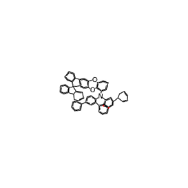 C1=CCC(c2cccc(N(c3ccc(-c4ccccc4)cc3-c3ccccc3)c3cccc4c3Oc3cc5c(cc3O4)-c3ccccc3C53C4=CC=CCC4c4ccccc43)c2)C=C1